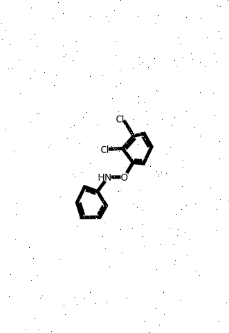 Clc1cccc(ONc2ccccc2)c1Cl